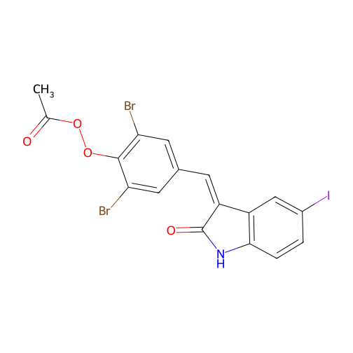 CC(=O)OOc1c(Br)cc(C=C2C(=O)Nc3ccc(I)cc32)cc1Br